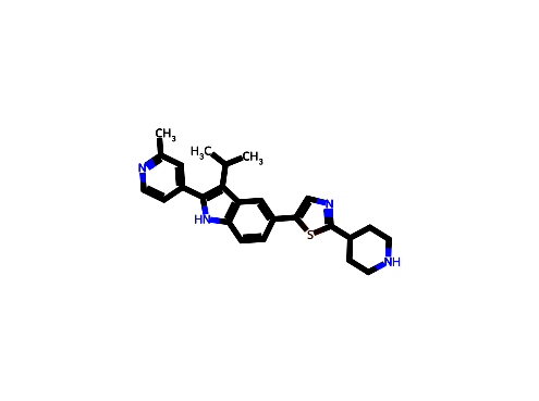 Cc1cc(-c2[nH]c3ccc(-c4cnc(C5CCNCC5)s4)cc3c2C(C)C)ccn1